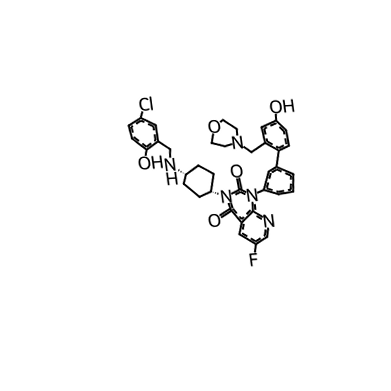 O=c1c2cc(F)cnc2n(-c2cccc(-c3ccc(O)cc3CN3CCOCC3)c2)c(=O)n1[C@H]1CC[C@@H](NCc2cc(Cl)ccc2O)CC1